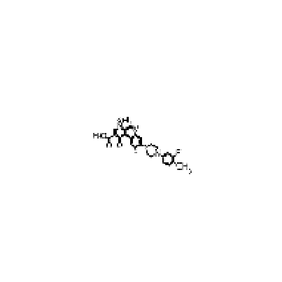 Cc1ccc(N2CCN(c3cc4ncc5c(c(=O)c(C(=O)O)cn5C)c4cc3F)CC2)cc1F